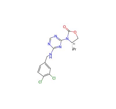 CC(C)[C@H]1COC(=O)N1c1ncnc(NCc2ccc(Cl)c(Cl)c2)n1